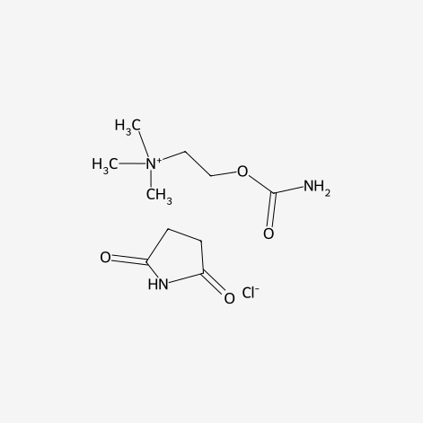 C[N+](C)(C)CCOC(N)=O.O=C1CCC(=O)N1.[Cl-]